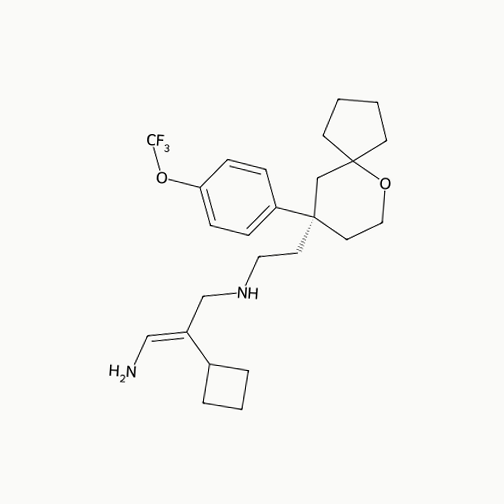 N/C=C(/CNCC[C@@]1(c2ccc(OC(F)(F)F)cc2)CCOC2(CCCC2)C1)C1CCC1